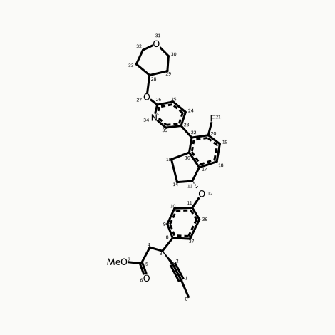 CC#C[C@@H](CC(=O)OC)c1ccc(O[C@@H]2CCc3c2ccc(F)c3-c2ccc(OC3CCOCC3)nc2)cc1